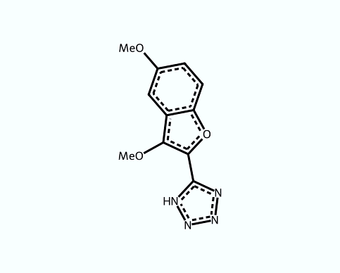 COc1ccc2oc(-c3nnn[nH]3)c(OC)c2c1